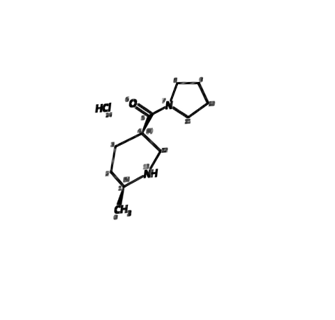 C[C@H]1CC[C@@H](C(=O)N2CCCC2)CN1.Cl